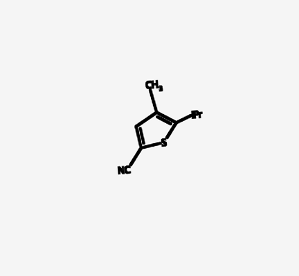 Cc1cc(C#N)sc1C(C)C